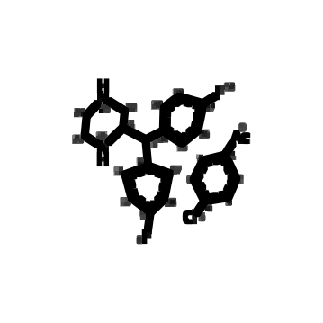 CC(=O)c1ccc(Cl)cc1.Fc1ccc(C(c2ccc(F)cc2)C2CNCCN2)cc1